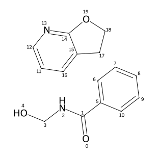 O=C(NCO)c1ccccc1.c1cnc2c(c1)CCO2